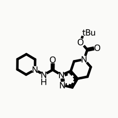 CC(C)(C)OC(=O)N1CCc2cnn(C(=O)NN3CCCCC3)c2C1